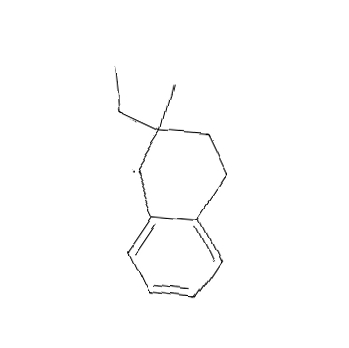 CCC1(C)[CH]c2ccccc2CC1